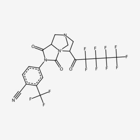 N#Cc1ccc(N2C(=O)C3CN4CC(C(=O)C(F)(F)C(F)(F)C(F)(F)C(F)(F)F)[N+]3(C4)C2=O)cc1C(F)(F)F